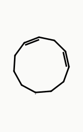 [CH]1CCC=CCC=CCCC1